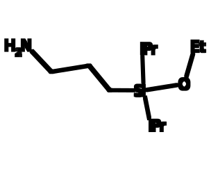 CCO[Si](CCCN)(C(C)C)C(C)C